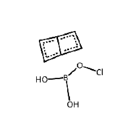 OB(O)OCl.c1cc2ccc1-2